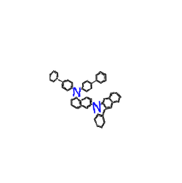 c1ccc(-c2ccc(N(c3ccc(-c4ccccc4)cc3)c3cccc4cc(-n5c6ccccc6c6cc7ccccc7cc65)ccc34)cc2)cc1